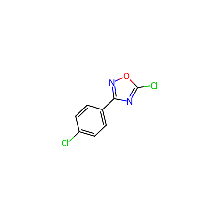 Clc1ccc(-c2noc(Cl)n2)cc1